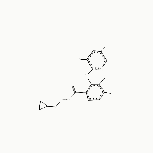 Bc1cc(C)cnc1Nc1c(C(=O)NOCC2CC2)ccc(F)c1F